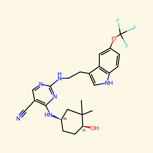 CC1(C)C[C@H](Nc2nc(NCCc3c[nH]c4ccc(OC(F)(F)F)cc34)ncc2C#N)CC[C@@H]1O